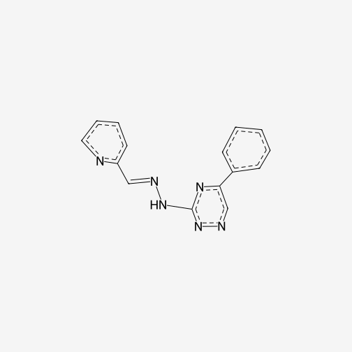 C(=N\Nc1nncc(-c2ccccc2)n1)/c1ccccn1